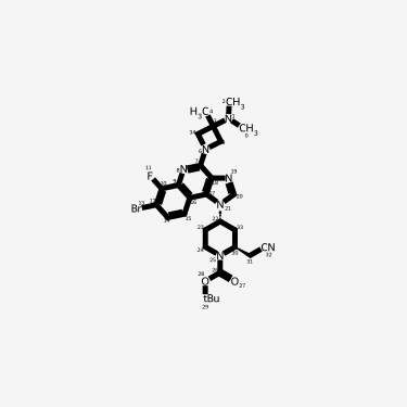 CN(C)C1(C)CN(c2nc3c(F)c(Br)ccc3c3c2ncn3[C@H]2CCN(C(=O)OC(C)(C)C)[C@H](CC#N)C2)C1